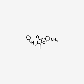 Cc1ccc(Cn2c(=O)[nH]c3c(c2=O)CN(Cc2ccccc2)CC3)cc1